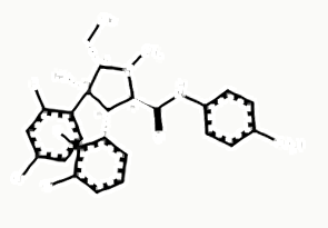 CN1[C@@H](CC(C)(C)C)[C@](C#N)(c2ccc(Cl)cc2F)[C@@H](c2cccc(Cl)c2F)[C@@H]1C(=O)Nc1ccc(C(=O)O)cc1